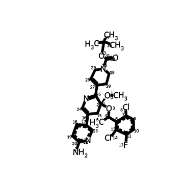 CO[C@@]1(OC(C)c2c(Cl)ccc(F)c2Cl)CC(c2ccc(N)nc2)=CN=C1C1=CCN(C(=O)OC(C)(C)C)CC1